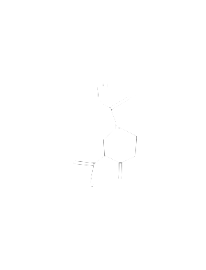 CC(C)(C)OC(=O)N1CCC(=O)C(C(=O)Br)C1